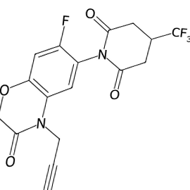 C#CCN1C(=O)COc2cc(F)c(N3C(=O)CC(C(F)(F)F)CC3=O)cc21